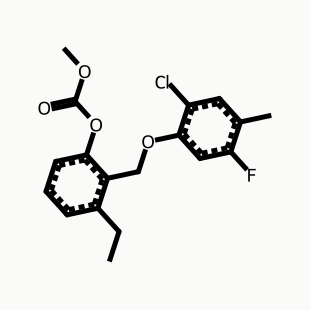 CCc1cccc(OC(=O)OC)c1COc1cc(F)c(C)cc1Cl